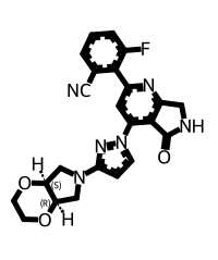 N#Cc1cccc(F)c1-c1cc(-n2ccc(N3C[C@@H]4OCCO[C@@H]4C3)n2)c2c(n1)CNC2=O